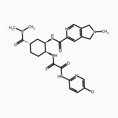 CN1Cc2cnc(C(=O)N[C@@H]3C[C@@H](C(=O)N(C)C)CC[C@@H]3NC(=S)C(=O)Nc3ccc(Cl)cn3)cc2C1